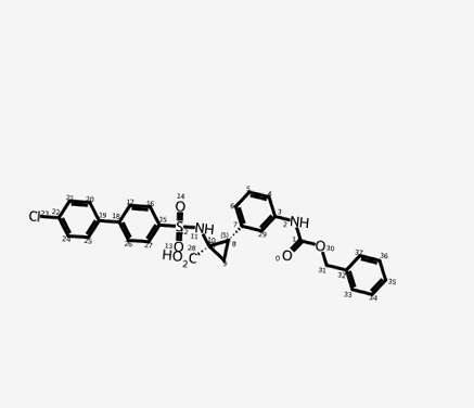 O=C(Nc1cccc([C@@H]2C[C@]2(NS(=O)(=O)c2ccc(-c3ccc(Cl)cc3)cc2)C(=O)O)c1)OCc1ccccc1